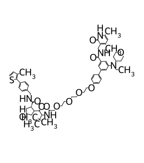 CCN(c1cc(C(=O)NCc2c(C)cc(C)[nH]c2=O)cc(-c2ccc(OCCOCCOCCOCC(=O)NC(C(=O)C3C[C@H](O)C[C@H]3C(=O)NCc3ccc(-c4sccc4C)cc3)C(C)(C)C)cc2)c1)C1CCOCC1